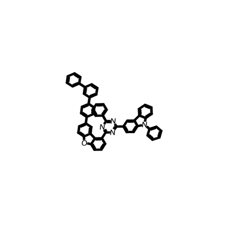 c1ccc(-c2cccc(-c3ccc(-c4ccc5oc6cccc(-c7nc(-c8ccccc8)nc(-c8ccc9c(c8)c8ccccc8n9-c8ccccc8)n7)c6c5c4)cc3)c2)cc1